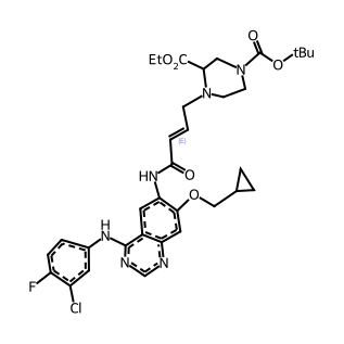 CCOC(=O)C1CN(C(=O)OC(C)(C)C)CCN1C/C=C/C(=O)Nc1cc2c(Nc3ccc(F)c(Cl)c3)ncnc2cc1OCC1CC1